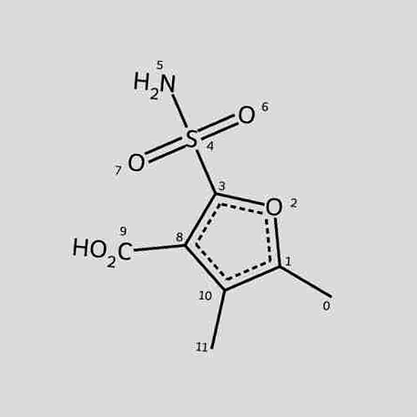 Cc1oc(S(N)(=O)=O)c(C(=O)O)c1C